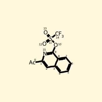 CC(=O)c1cc2ccccc2c(OS(=O)(=O)C(F)(F)F)n1